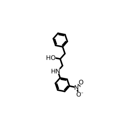 O=[N+]([O-])c1cccc(NCC(O)Cc2ccccc2)c1